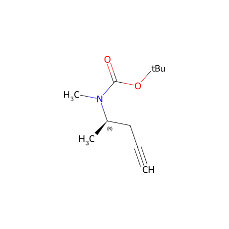 C#CC[C@@H](C)N(C)C(=O)OC(C)(C)C